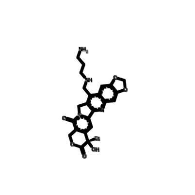 CC[C@@]1(O)C(=O)OCc2c1cc1n(c2=O)Cc2c-1nc1cc3c(cc1c2CNCCCN)OCO3